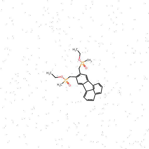 CCOP(C)(=O)Cc1cc2c(cc1CP(C)(=O)OCC)-c1cccc3cccc-2c13